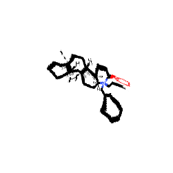 CC[N+]1(Cc2ccccc2)C(=O)C=C[C@@]2(C)[C@H]1CC[C@H]1[C@@H]3CCC[C@@]3(C)CC[C@@H]12